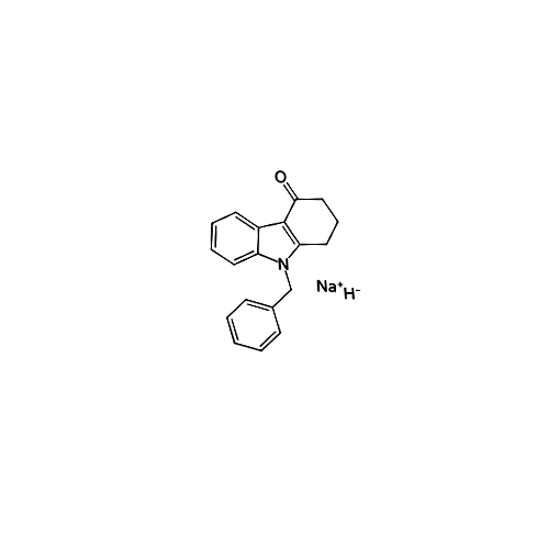 O=C1CCCc2c1c1ccccc1n2Cc1ccccc1.[H-].[Na+]